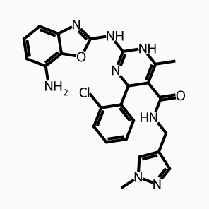 CC1=C(C(=O)NCc2cnn(C)c2)C(c2ccccc2Cl)N=C(Nc2nc3cccc(N)c3o2)N1